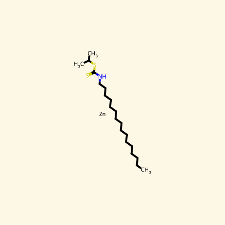 CCCCCCCCCCCCCCCCNC(=S)SC(C)C.[Zn]